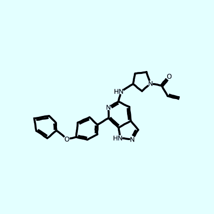 C=CC(=O)N1CCC(Nc2cc3cn[nH]c3c(-c3ccc(Oc4ccccc4)cc3)n2)C1